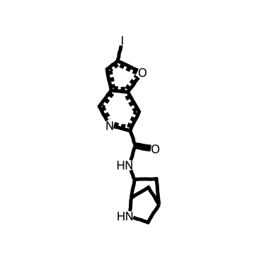 O=C(NC1CC2CNC1C2)c1cc2oc(I)cc2cn1